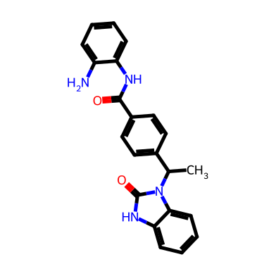 CC(c1ccc(C(=O)Nc2ccccc2N)cc1)n1c(=O)[nH]c2ccccc21